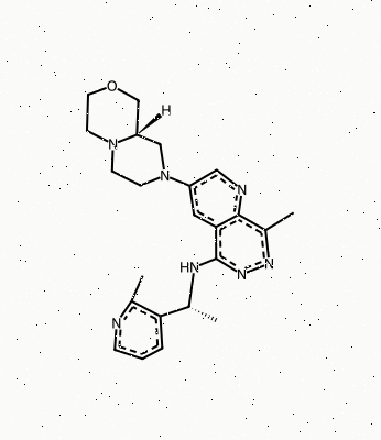 Cc1ncccc1[C@@H](C)Nc1nnc(C)c2ncc(N3CCN4CCOC[C@@H]4C3)cc12